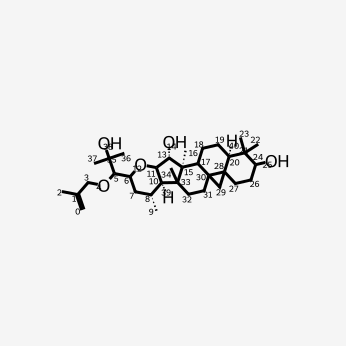 C=C(C)COC(C1C[C@@H](C)[C@H]2C(O1)[C@H](O)[C@@]1(C)C3CC[C@H]4C(C)(C)C(O)CCC45CC35CCC21C)C(C)(C)O